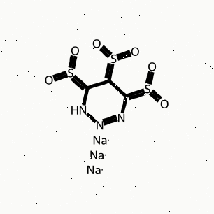 O=S(=O)=C1N=NNC(=S(=O)=O)C1=S(=O)=O.[Na].[Na].[Na]